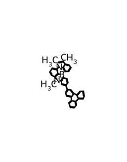 Cc1c(C)n2c3c(cccc13)B1c3ccc(-c4ccc5c6ccccc6c6ccccc6c5c4)cc3N(C)c3cccc-2c31